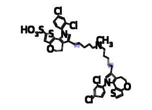 CN(CCC/C=C/c1cn(-c2ccc(Cl)cc2Cl)c2c1CCOc1ccsc1-2)CCC/C=C/c1cn(-c2ccc(Cl)cc2Cl)c2c1CCOc1cc(S(=O)(=O)O)sc1-2